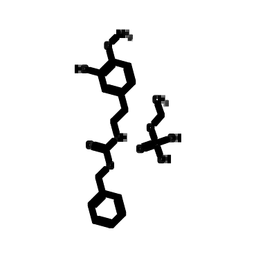 CCOP(=O)(O)O.NOc1ccc(CCNC(=O)OCc2ccccc2)cc1O